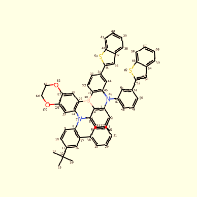 Cc1cc2c3c(c1)N(c1ccc(C(C)(C)C)cc1-c1ccccc1)c1cc4c(cc1B3c1ccc(-c3cc5ccccc5s3)cc1N2c1cccc(-c2cc3ccccc3s2)c1)OCCO4